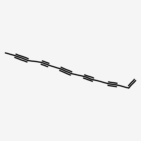 C=CC#CC#CC#CC#CC#CC